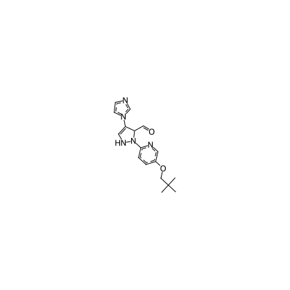 CC(C)(C)COc1ccc(N2NC=C(n3ccnc3)C2C=O)nc1